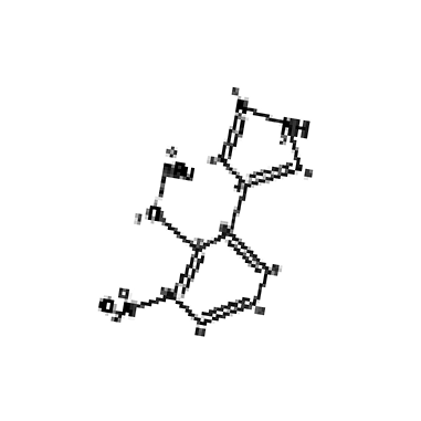 CCCCOc1c(-c2cn[nH]c2)cccc1[N+](=O)[O-]